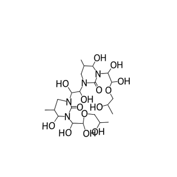 CC(O)COC(O)C(O)N1C(=O)N(C(O)C(O)N2CC(C)C(O)N(C(O)C(O)OCC(C)O)C2=O)CC(C)C1O